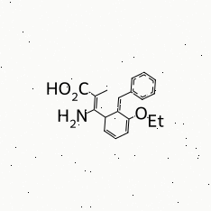 CCOC1=CC=CC(C(N)=C(C)C(=O)O)C1=Cc1ccccc1